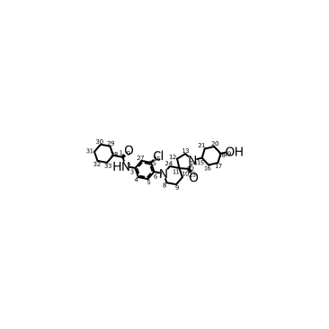 O=C(Nc1ccc(N2CCCC3(CCN(C4CCC(O)CC4)C3=O)C2)c(Cl)c1)C1CCCCC1